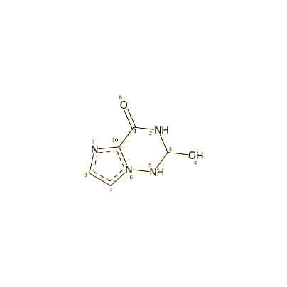 O=C1NC(O)Nn2ccnc21